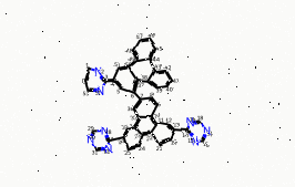 c1cnc(-c2cc(-c3ccc4c5cc(-c6ncncn6)ccc5c5ccc(-c6ncncn6)cc5c4c3)c3c4ccccc4c4ccccc4c3c2)nc1